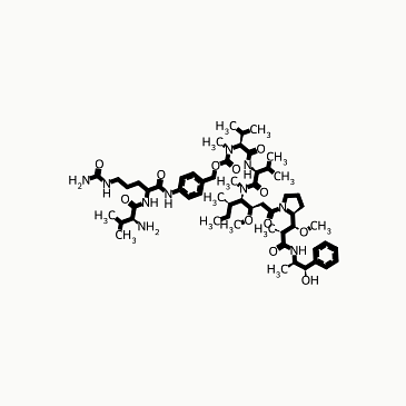 CC[C@H](C)[C@@H]([C@@H](CC(=O)N1CCC[C@H]1[C@H](OC)[C@@H](C)C(=O)N[C@H](C)[C@@H](O)c1ccccc1)OC)N(C)C(=O)[C@@H](NC(=O)[C@H](C(C)C)N(C)C(=O)OCc1ccc(NC(=O)C(CCCNC(N)=O)NC(=O)[C@@H](N)C(C)C)cc1)C(C)C